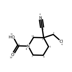 N#CC1(CCl)CCCN(C(=O)O)C1